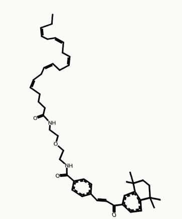 CC/C=C\C/C=C\C/C=C\C/C=C\C/C=C\CCCC(=O)NCCOCCNC(=O)c1ccc(/C=C/C(=O)c2ccc3c(c2)C(C)(C)CCC3(C)C)cc1